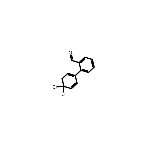 O=Cc1ccccc1C1=CCC(Cl)(Cl)C=C1